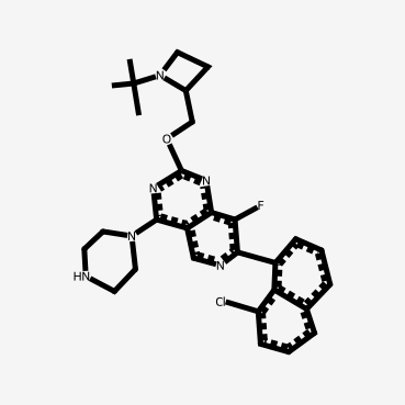 CC(C)(C)N1CCC1COc1nc(N2CCNCC2)c2cnc(-c3cccc4cccc(Cl)c34)c(F)c2n1